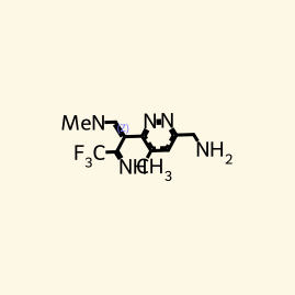 CN/C=C(\C(=N)C(F)(F)F)c1nnc(CN)cc1C